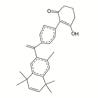 C=C(c1ccc(C2=C(O)CCCC2=O)cc1)c1cc2c(cc1C)C(C)(C)C=CC2(C)C